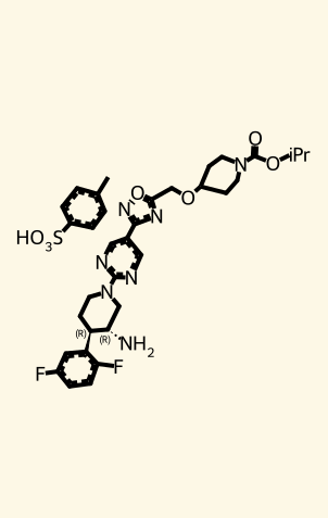 CC(C)OC(=O)N1CCC(OCc2nc(-c3cnc(N4CC[C@H](c5cc(F)ccc5F)[C@@H](N)C4)nc3)no2)CC1.Cc1ccc(S(=O)(=O)O)cc1